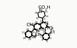 CCc1cccc(CC)c1-n1c(=O)nc(C2CCN(C(=O)O)CC2)c2cc(Cl)c(-c3ccccc3F)nc21